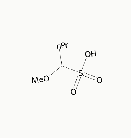 CCCC(OC)S(=O)(=O)O